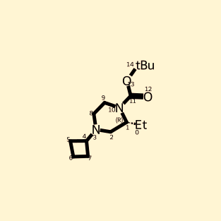 CC[C@@H]1CN(C2CCC2)CCN1C(=O)OC(C)(C)C